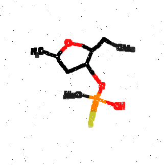 COCC1OC(C)CC1OP(O)(=S)OC